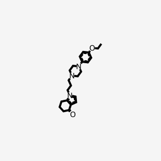 CCOc1ccc(N2CCN(CCCn3ccc4c3CCCC4=O)CC2)cc1